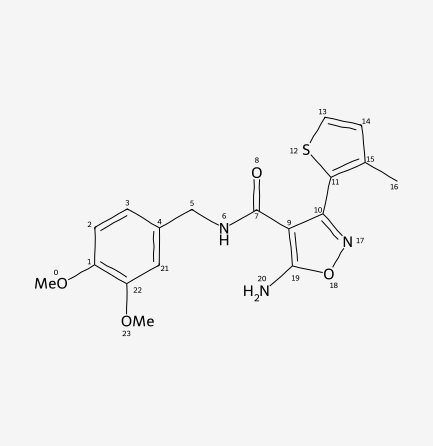 COc1ccc(CNC(=O)c2c(-c3sccc3C)noc2N)cc1OC